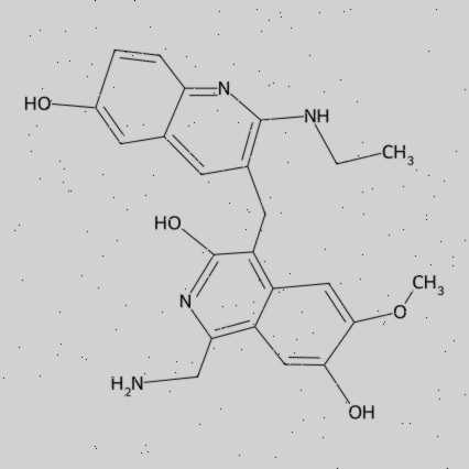 CCNc1nc2ccc(O)cc2cc1Cc1c(O)nc(CN)c2cc(O)c(OC)cc12